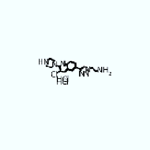 Cl.Cl.NCCn1cc(-c2ccc3nc(N4CCNCC4)c(Cl)cc3c2)nn1